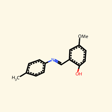 COc1ccc(O)c(C=Nc2ccc(C)cc2)c1